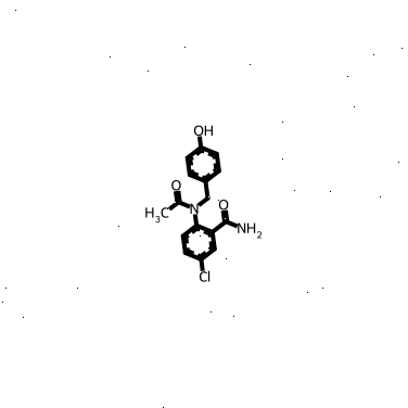 CC(=O)N(Cc1ccc(O)cc1)c1ccc(Cl)cc1C(N)=O